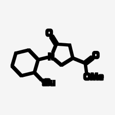 COC(=O)C1CC(=O)N(C2CCCCC2C(C)(C)C)C1